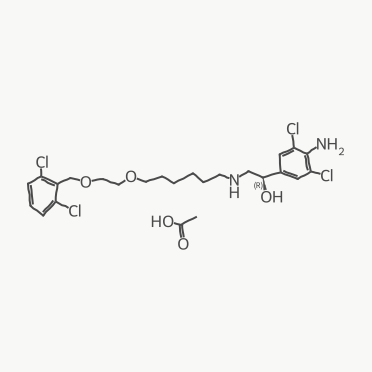 CC(=O)O.Nc1c(Cl)cc([C@@H](O)CNCCCCCCOCCOCc2c(Cl)cccc2Cl)cc1Cl